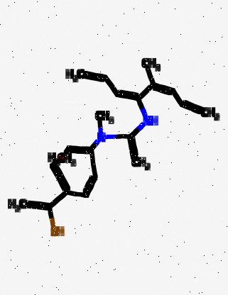 C=C/C=C(C)\C(=C/C=C)NC(=C)N(C)C(/C=C\C(=C/C)C(=C)S)=C/C